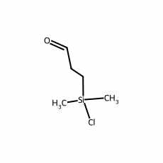 C[Si](C)(Cl)CCC=O